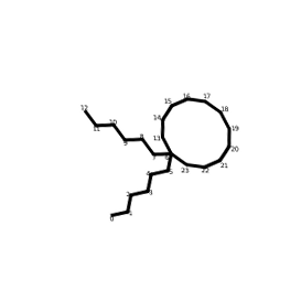 CCCCCCC1(CCCCCC)CCCCCCCCCCC1